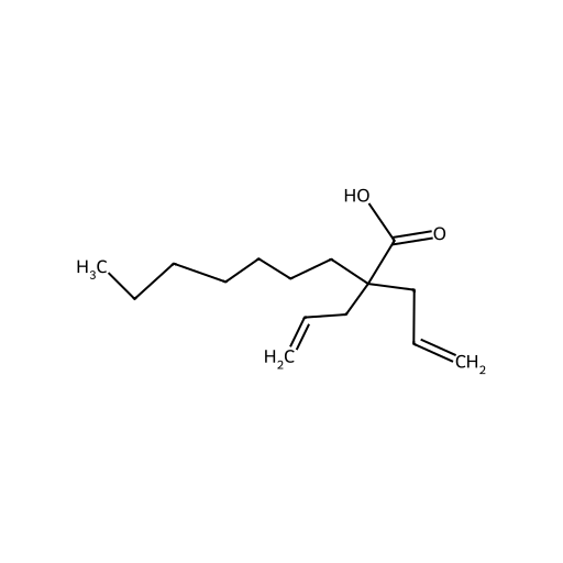 C=CCC(CC=C)(CCCCCCC)C(=O)O